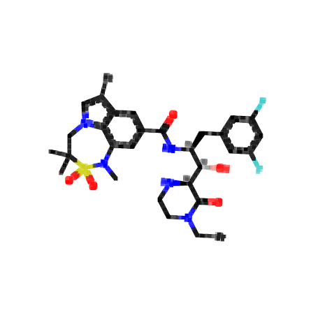 CCc1cn2c3c(cc(C(=O)N[C@@H](Cc4cc(F)cc(F)c4)[C@H](O)[C@@H]4NCCN(CC(C)C)C4=O)cc13)N(C)S(=O)(=O)C(C)(C)C2